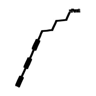 C#CC#CC#CCCCCCCCCC